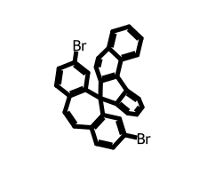 Brc1ccc2c(c1)C1(c3cc(Br)ccc3C=C2)c2ccccc2-c2c1ccc1ccccc21